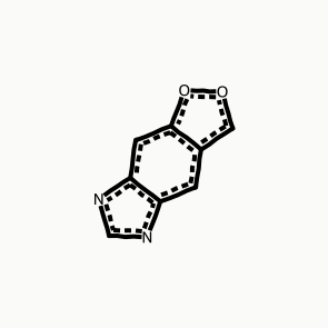 c1nc2cc3cooc3cc2n1